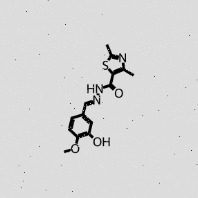 COc1ccc(/C=N/NC(=O)c2sc(C)nc2C)cc1O